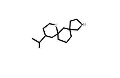 CC(C)C1CCOC2(CCCC3(CCNC3)C2)C1